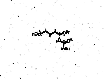 CCCCCCCCCCCC(CCC)OC(=O)CCCC